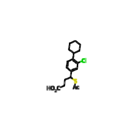 CC(=O)SC(CCC(=O)O)c1ccc(C2CCCCC2)c(Cl)c1